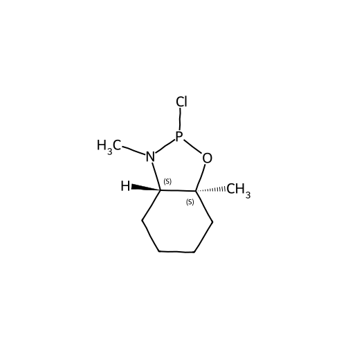 CN1[C@H]2CCCC[C@]2(C)OP1Cl